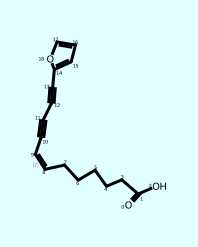 O=C(O)CCCCC/C=C\C#CC#Cc1ccco1